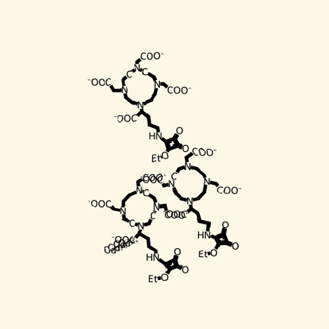 CCOc1c(NCCCC(C(=O)[O-])N2CCN(CC(=O)[O-])CCN(CC(=O)[O-])CCN(CC(=O)[O-])CC2)c(=O)c1=O.CCOc1c(NCCCC(C(=O)[O-])N2CCN(CC(=O)[O-])CCN(CC(=O)[O-])CCN(CC(=O)[O-])CC2)c(=O)c1=O.CCOc1c(NCCCC(C(=O)[O-])N2CCN(CC(=O)[O-])CCN(CC(=O)[O-])CCN(CC(=O)[O-])CC2)c(=O)c1=O.[Gd+3].[Gd+3].[Gd+3].[Gd+3]